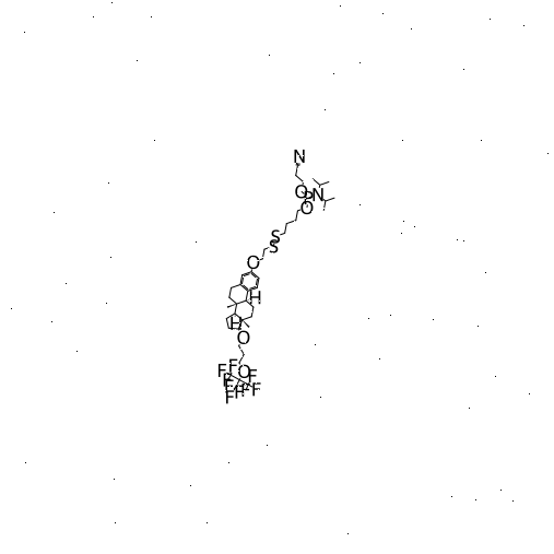 CC(C)N(C(C)C)P(OCCC#N)OCCCCSSCCOc1ccc2c(c1)CC[C@@]1(C)[C@@H]3CC[C@H](OCCCOC(C(F)(F)F)(C(F)(F)F)C(F)(F)F)[C@@]3(C)CC[C@H]21